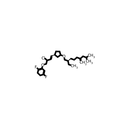 C=C(CCC[C@@H](CC)COC1CC[C@H](/C=C/C(Cl)COC2=C(F)CCC(F)=C2)C1)CC(C)C